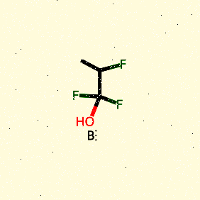 CC(F)C(O)(F)F.[B]